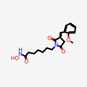 COc1ccccc1C=C1CC(=O)N(CCCCCCC(=O)NO)C1=O